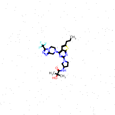 CCCc1cc2c(N3CCn4c(nnc4C(F)(F)F)C3)nc(N3CCC(NC(=O)C(C)(C)O)C3)nc2s1